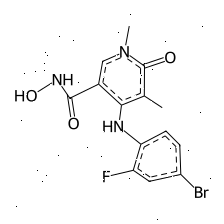 Cc1c(Nc2ccc(Br)cc2F)c(C(=O)NO)cn(C)c1=O